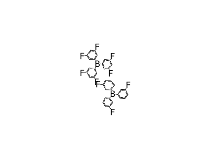 Fc1cc(F)cc(B(c2cc(F)cc(F)c2)c2cc(F)cc(F)c2)c1.Fc1cccc(B(c2cccc(F)c2)c2cccc(F)c2)c1